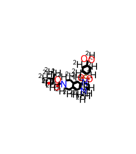 [2H]OC(=O)c1c([2H])c([2H])c(S(=O)(=O)N([2H])c2c([2H])c3c(c([2H])c2N(C([2H])([2H])[2H])C([2H])([2H])[2H])C([2H])C([2H])N(C(=O)OC(C([2H])[2H])(C([2H])([2H])[2H])C([2H])([2H])[2H])C([2H])C3[2H])c([2H])c1[2H]